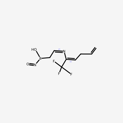 C=CC/C=C(\N=C/CB(O)N=O)C(F)(F)F